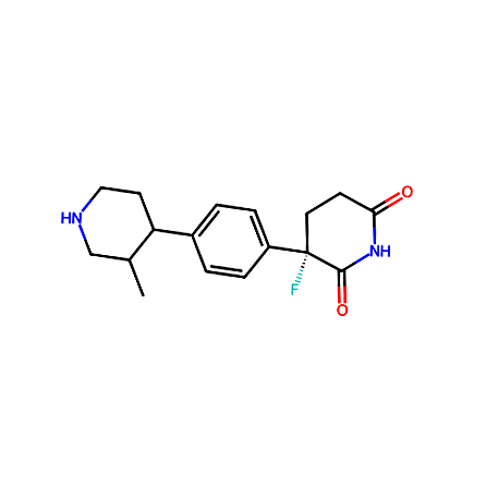 CC1CNCCC1c1ccc([C@@]2(F)CCC(=O)NC2=O)cc1